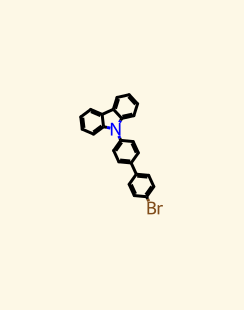 Brc1ccc(-c2ccc(-n3c4ccccc4c4ccccc43)cc2)cc1